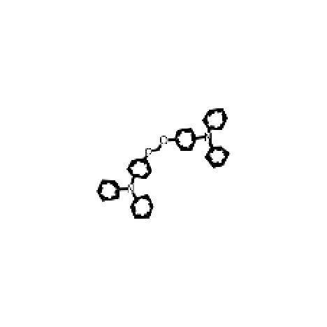 c1ccc(N(c2ccccc2)c2ccc(OCOc3ccc(N(c4ccccc4)c4ccccc4)cc3)cc2)cc1